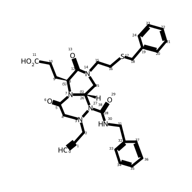 C#CCN1CC(=O)N2[C@@H](CCC(=O)O)C(=O)N(CCSCc3ccccc3)C[C@@H]2N1C(=O)NCc1ccccc1